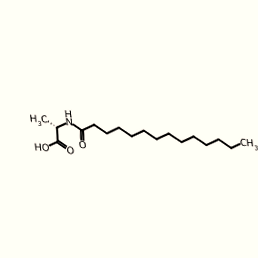 CCCCCCCCCCCCCC(=O)N[C@@H](C)C(=O)O